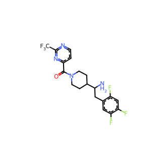 NC(Cc1cc(F)c(F)cc1F)C1CCN(C(=O)c2ccnc(C(F)(F)F)n2)CC1